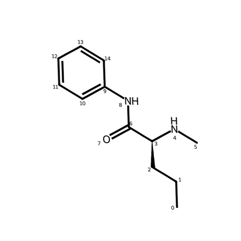 CCC[C@H](NC)C(=O)Nc1ccccc1